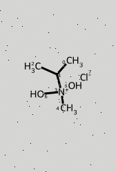 CC(C)[N+](C)(O)O.[Cl-]